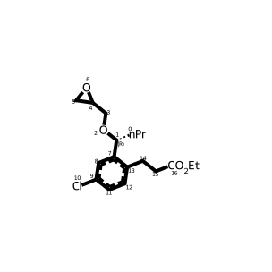 CCC[C@@H](OCC1CO1)c1cc(Cl)ccc1CCC(=O)OCC